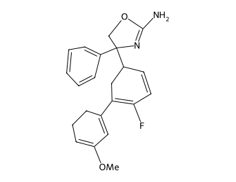 COC1=CCCC(C2=C(F)C=CC(C3(c4ccccc4)COC(N)=N3)C2)=C1